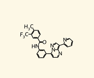 Cc1ccc(C(=O)Nc2cccc(-c3ccnc4c(-c5ccccn5)cnn34)c2)cc1C(F)(F)F